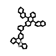 c1cc(-c2ccc3c(-c4ccc5ccccc5c4)c4ccccc4c(-c4ccc5ccccc5c4)c3c2)cc(-c2ccc3c(c2)c2ccccc2c2nc4ccccc4n32)c1